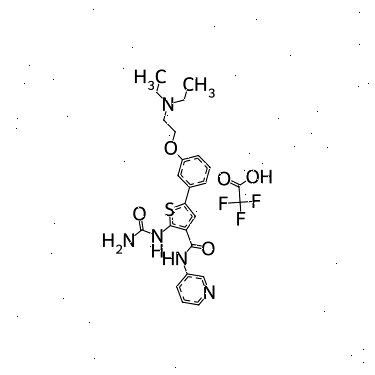 CCN(CC)CCOc1cccc(-c2cc(C(=O)Nc3cccnc3)c(NC(N)=O)s2)c1.O=C(O)C(F)(F)F